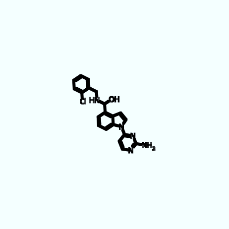 Nc1nccc(-n2ccc3c(C(O)NCc4ccccc4Cl)cccc32)n1